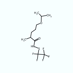 CC(C)OCCCC(C)C(=O)NSC(F)(F)C(F)(F)F